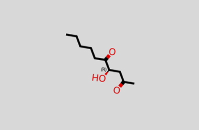 CCCCCC(=O)[C@H](O)CC(C)=O